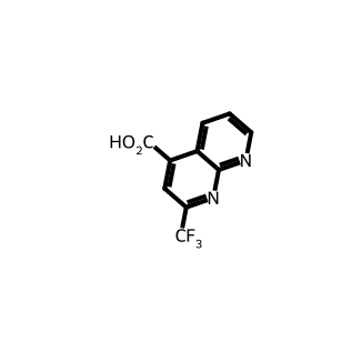 O=C(O)c1cc(C(F)(F)F)nc2ncccc12